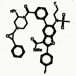 CCCC1CN(C2OC2c2ccccc2)CCN1C(=O)c1cccc(-c2cc3c(C(=O)NC)c(-c4ccc(F)cc4)oc3cc2N(CCF)S(C)(=O)=O)c1